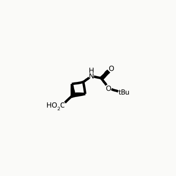 CC(C)(C)OC(=O)NC1C2CC1C2C(=O)O